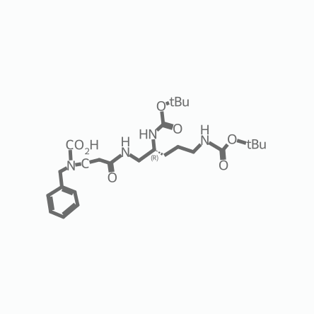 CC(C)(C)OC(=O)NCCC[C@H](CNC(=O)CCN(Cc1ccccc1)C(=O)O)NC(=O)OC(C)(C)C